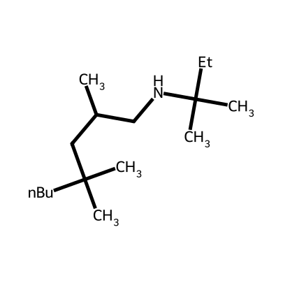 CCCCC(C)(C)CC(C)CNC(C)(C)CC